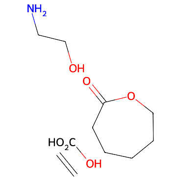 C=C.NCCO.O=C(O)O.O=C1CCCCCO1